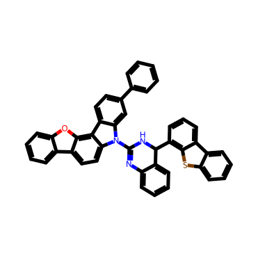 c1ccc(-c2ccc3c4c5oc6ccccc6c5ccc4n(C4=Nc5ccccc5C(c5cccc6c5sc5ccccc56)N4)c3c2)cc1